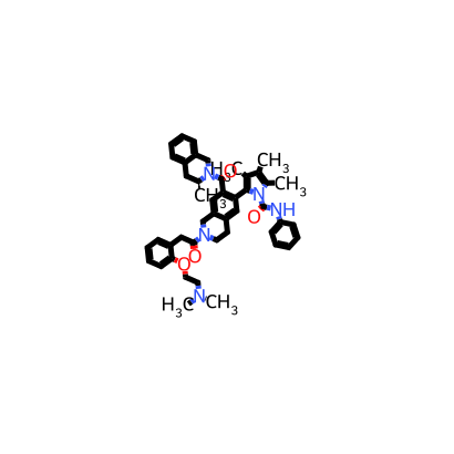 Cc1c(C)c(-c2cc3c(cc2C(=O)N2Cc4ccccc4C[C@H]2C)CN(C(=O)Cc2ccccc2OCCN(C)C)CC3)n(C(=O)Nc2ccccc2)c1C